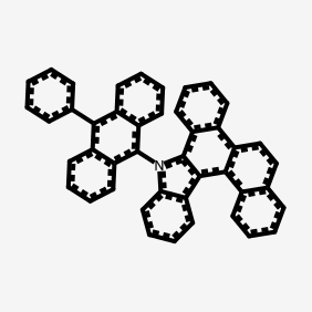 c1ccc(-c2c3ccccc3c(-n3c4ccccc4c4c5c6ccccc6ccc5c5ccccc5c43)c3ccccc23)cc1